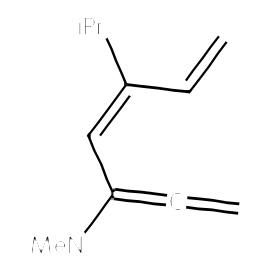 C=C=C(/C=C(\C=C)C(C)C)NC